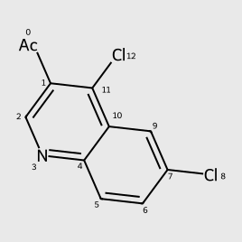 CC(=O)c1cnc2ccc(Cl)cc2c1Cl